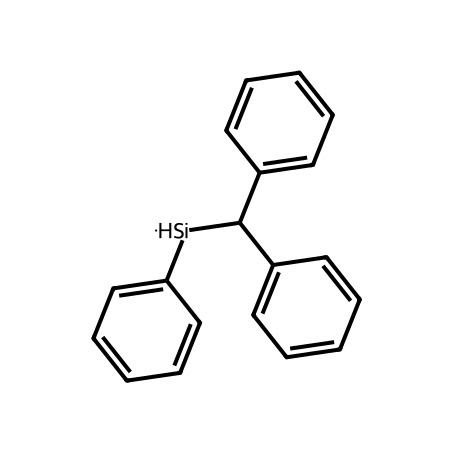 c1ccc([SiH]C(c2ccccc2)c2ccccc2)cc1